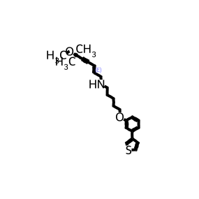 COC(C)(C)C#C/C=C/CNCCCCCOc1cccc(-c2ccsc2)c1